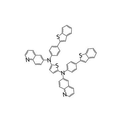 c1cnc2ccc(N(c3ccc(-c4cc5ccccc5s4)cc3)c3ccc(N(c4ccc(-c5cc6ccccc6s5)cc4)c4ccc5ncccc5c4)s3)cc2c1